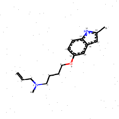 C=CCN(C)CCCCOc1ccc2[nH]c(C)cc2c1